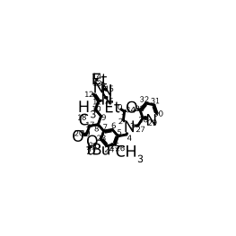 CCC1CN(Cc2cc(C(CCc3cn(CC)nn3)C(C)C(=O)OC(C)(C)C)ccc2C)Cc2ncccc2O1